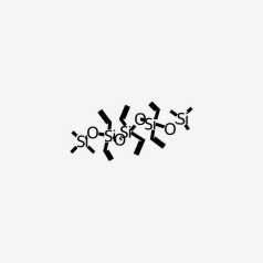 C=C[Si](C=C)(O[Si](C)(C)C)O[Si](C=C)(C=C)O[Si](C=C)(C=C)O[Si](C)(C)C